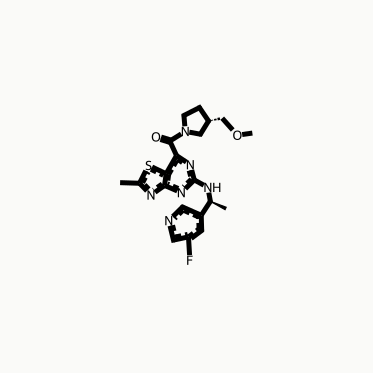 COC[C@H]1CCN(C(=O)c2nc(N[C@@H](C)c3cncc(F)c3)nc3nc(C)sc23)C1